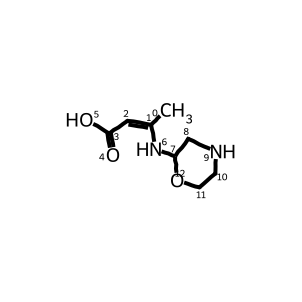 C/C(=C/C(=O)O)NC1CNCCO1